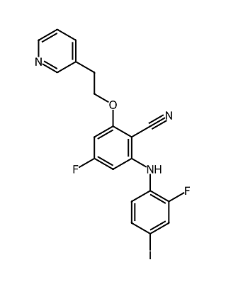 N#Cc1c(Nc2ccc(I)cc2F)cc(F)cc1OCCc1cccnc1